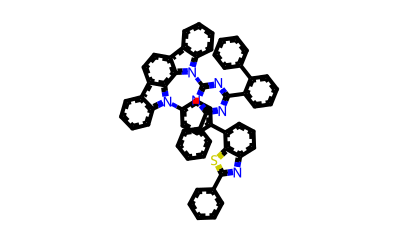 c1ccc(-c2nc(-c3ccccc3-c3ccccc3)nc(-n3c4ccccc4c4ccc5c6ccccc6n(-c6ccc(-c7cccc8nc(-c9ccccc9)sc78)cc6)c5c43)n2)cc1